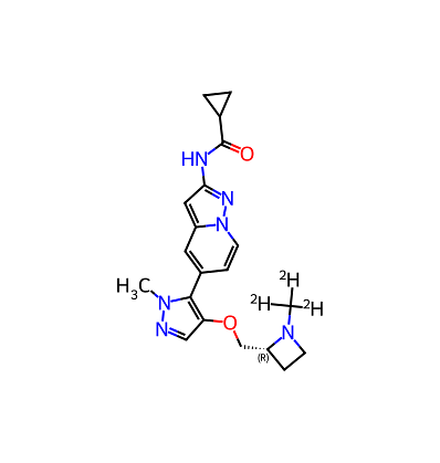 [2H]C([2H])([2H])N1CC[C@@H]1COc1cnn(C)c1-c1ccn2nc(NC(=O)C3CC3)cc2c1